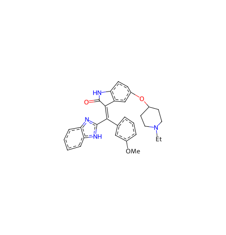 CCN1CCC(Oc2ccc3c(c2)/C(=C(\c2cccc(OC)c2)c2nc4ccccc4[nH]2)C(=O)N3)CC1